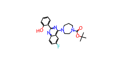 CC(C)(C)OC(=O)N1CCCN(c2nc(-c3ccccc3O)nc3ccc(F)cc23)CC1